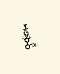 CC(C)(C1CC1)N1CCN(c2c(F)cc(-c3ccccc3CO)cc2F)CC1